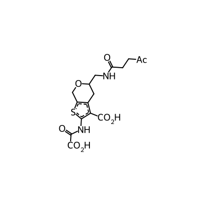 CC(=O)CCC(=O)NCC1Cc2c(sc(NC(=O)C(=O)O)c2C(=O)O)CO1